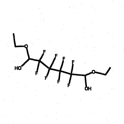 CCOC(O)C(F)(F)C(F)(F)C(F)(F)C(F)(F)C(O)OCC